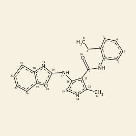 CCc1ccccc1NC(=O)c1c(C)nsc1Nc1nc2ccccc2o1